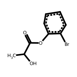 CC(O)C(=O)Oc1ccccc1Br